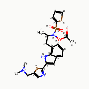 CCN(CC)Cc1cnc(-c2cc3cccc(CC(C)N(OC(=O)C(F)(F)F)S(=O)(=O)c4cccs4)c3[nH]2)s1